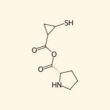 O=C(OC(=O)[C@@H]1CCCN1)C1CC1S